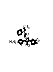 CCCN(C(=O)CN1CC(c2ccc3c(c2)OCO3)C(C(=O)O)C1c1ccc(OC)cc1)c1ccccc1